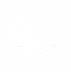 O/N=C1/CC2CCC1c1ccccc12